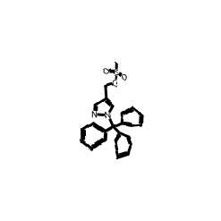 CS(=O)(=O)OCc1cnn(C(c2ccccc2)(c2ccccc2)c2ccccc2)c1